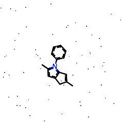 CC1=Cc2c(cc(C)n2-c2ccccc2)C1